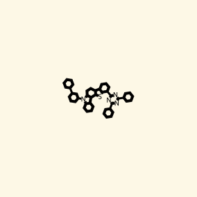 c1ccc(-c2cccc(-n3c4ccccc4c4c5sc6c(-c7nc(-c8ccccc8)nc(-c8ccccc8)n7)cccc6c5ccc43)c2)cc1